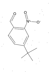 CC(C)(C)c1ccc(C=O)c([N+](=O)[O-])c1